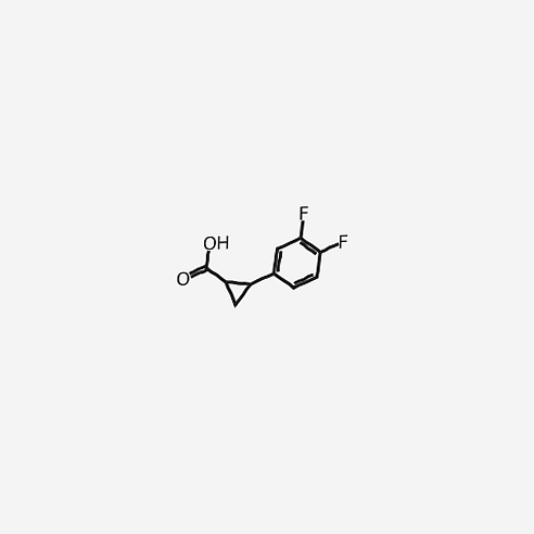 O=C(O)C1CC1c1ccc(F)c(F)c1